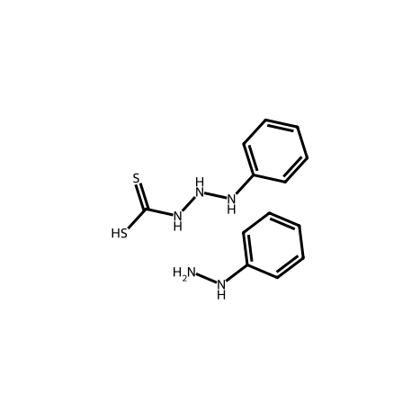 NNc1ccccc1.S=C(S)NNNc1ccccc1